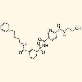 O=C(NCCCCc1ccccc1)c1cccc(S(=O)(=O)NC(=O)c2ccc(C(=O)NCCO)nc2)c1